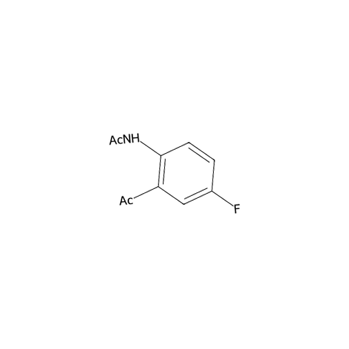 CC(=O)Nc1ccc(F)cc1C(C)=O